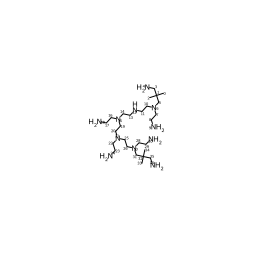 CC(C)(CN)CN(CCN)CCNCCN(CCN)CCN(CCN)CCN(CCN)CC(C)(C)CN